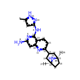 Cc1cc(Nc2nc(N)cc3nc(C4C[C@H]5CC[C@@H](C4)N5)ccc23)n[nH]1